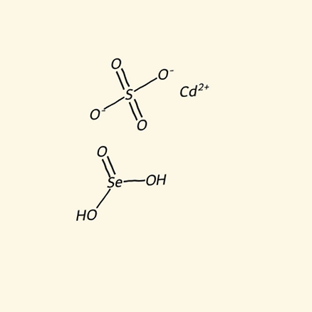 O=S(=O)([O-])[O-].O=[Se](O)O.[Cd+2]